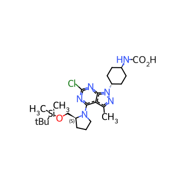 Cc1nn([C@H]2CC[C@H](NC(=O)O)CC2)c2nc(Cl)nc(N3CCC[C@H]3CO[Si](C)(C)C(C)(C)C)c12